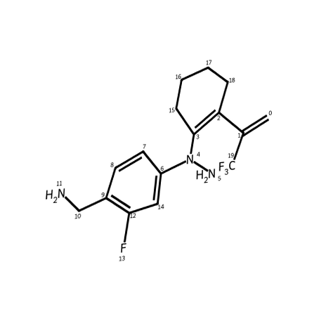 C=C(C1=C(N(N)c2ccc(CN)c(F)c2)CCCC1)C(F)(F)F